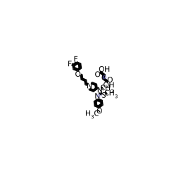 COc1ccc(/N=C(\SC)N(C)C2CCN(CCCCOc3ccc(F)c(F)c3)CC2)cc1.O=C(O)/C=C/C(=O)O